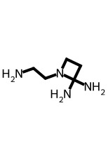 NCCN1CCC1(N)N